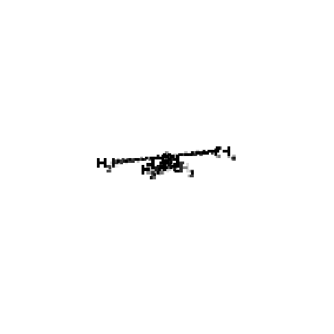 C=CCOCC=C.CC(O)CO.CCCCCCCCCCCCCCCCCCOCCCCCCCCCCCCCCCCCC